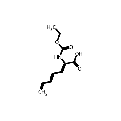 C=CC=CC=C(NC(=O)OCC)C(=O)O